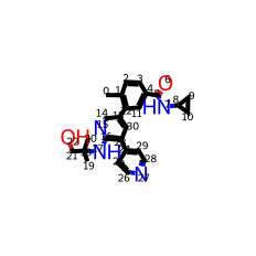 Cc1ccc(C(=O)NC2CC2)cc1-c1cnc(NC(C)(C)CO)c(-c2ccncc2)c1